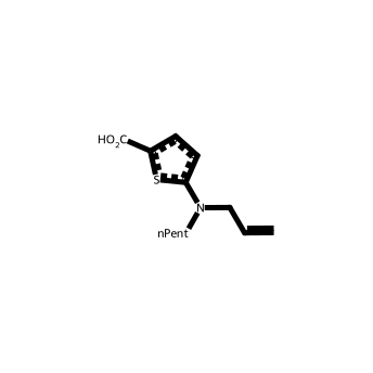 C=CCN(CCCCC)c1ccc(C(=O)O)s1